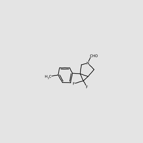 Cc1ccc(C23CN(C=O)CC2C3(F)F)cc1